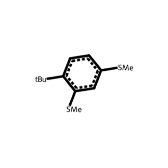 [CH2]C(C)(C)c1ccc(SC)cc1SC